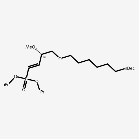 CCCCCCCCCCCCCCCCOC[C@H](C=CP(=O)(OC(C)C)OC(C)C)OC